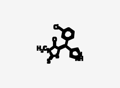 CN1C(=O)/C(=C(/c2cn[nH]c2)c2cccc(Cl)c2)SC1=S